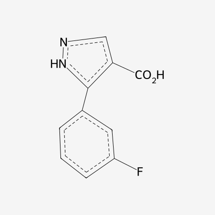 O=C(O)c1cn[nH]c1-c1cccc(F)c1